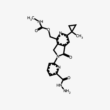 CNC(=O)OCc1nc(C2(C)CC2)cc2c1CN(c1cccc(C(=O)NN)n1)C2=O